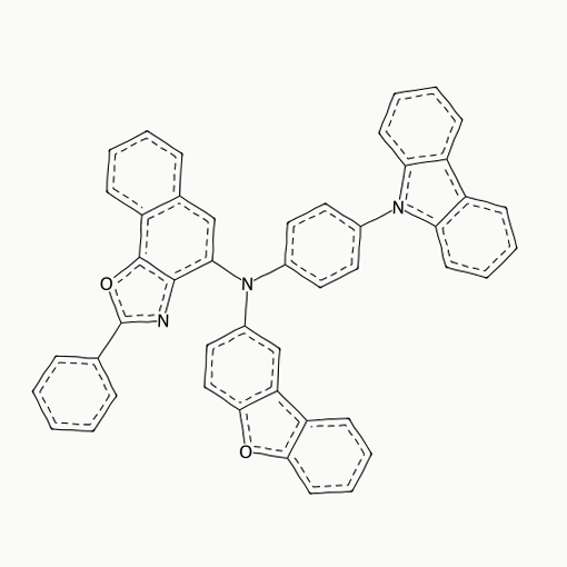 c1ccc(-c2nc3c(N(c4ccc(-n5c6ccccc6c6ccccc65)cc4)c4ccc5oc6ccccc6c5c4)cc4ccccc4c3o2)cc1